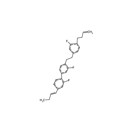 C=CCCc1ccc(CCc2ccc(-c3ccc(/C=C/CC)cc3F)cc2F)cc1F